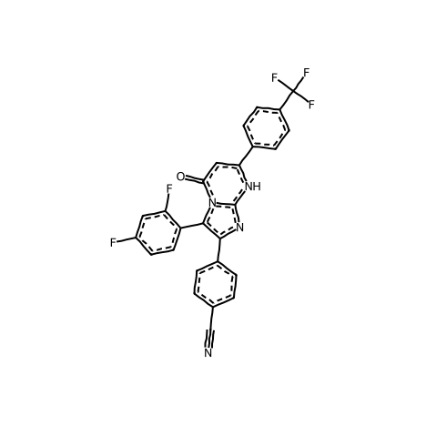 N#Cc1ccc(-c2nc3[nH]c(-c4ccc(C(F)(F)F)cc4)cc(=O)n3c2-c2ccc(F)cc2F)cc1